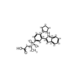 CN(CC(=O)O)S(=O)(=O)c1ccc(N2CCCC2)c(-c2cc3ccccc3[nH]2)c1